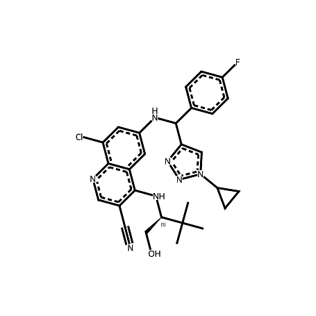 CC(C)(C)[C@@H](CO)Nc1c(C#N)cnc2c(Cl)cc(NC(c3ccc(F)cc3)c3cn(C4CC4)nn3)cc12